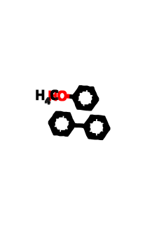 C.Oc1ccccc1.c1ccc(-c2ccccc2)cc1